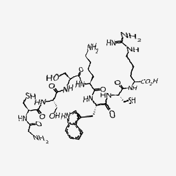 N=C(N)NCCC[C@H](NC(=O)[C@H](CS)NC(=O)[C@H](Cc1c[nH]c2ccccc12)NC(=O)[C@H](CCCCN)NC(=O)[C@H](CO)NC(=O)[C@H](CO)NC(=O)[C@H](CS)NC(=O)CN)C(=O)O